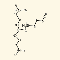 CN(C)CCOC(OCCN(C)C)O[SiH2]CCCCl